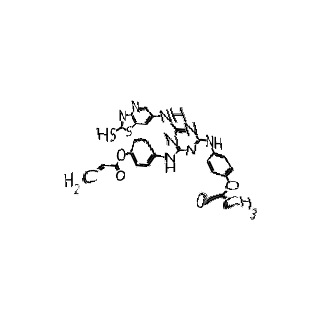 C=CC(=O)Oc1ccc(Nc2nc(Nc3ccc(OC(C)=O)cc3)nc(Nc3cnc4nc(S)sc4c3)n2)cc1